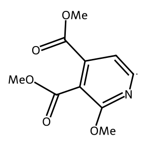 COC(=O)c1c[c]nc(OC)c1C(=O)OC